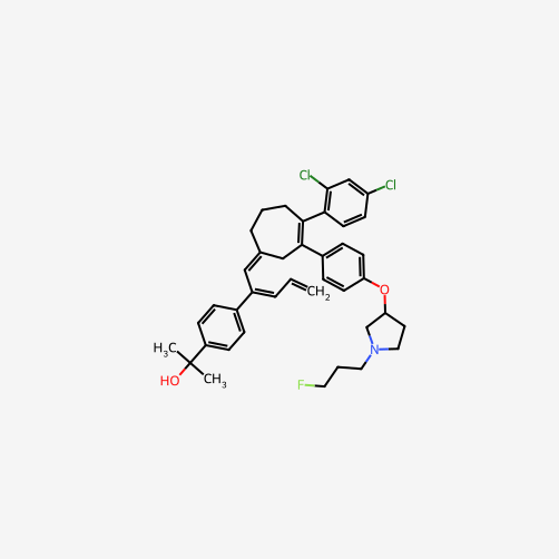 C=C/C=C(\C=C1\CCCC(c2ccc(Cl)cc2Cl)=C(c2ccc(OC3CCN(CCCF)C3)cc2)C1)c1ccc(C(C)(C)O)cc1